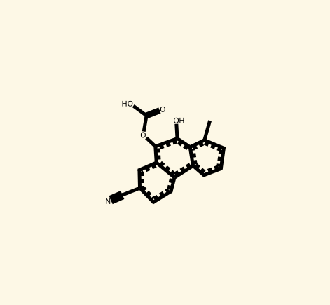 Cc1cccc2c1c(O)c(OC(=O)O)c1cc(C#N)ccc12